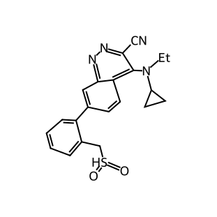 CCN(c1c(C#N)nnc2cc(-c3ccccc3C[SH](=O)=O)ccc12)C1CC1